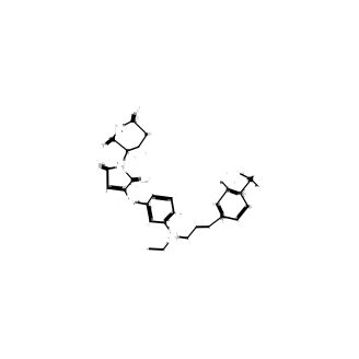 CCN(CCCc1ccc(C(F)(F)F)c(Cl)c1)c1cccc(NC2=CC(=O)N(C3CCC(=O)NC3=O)C2=O)c1